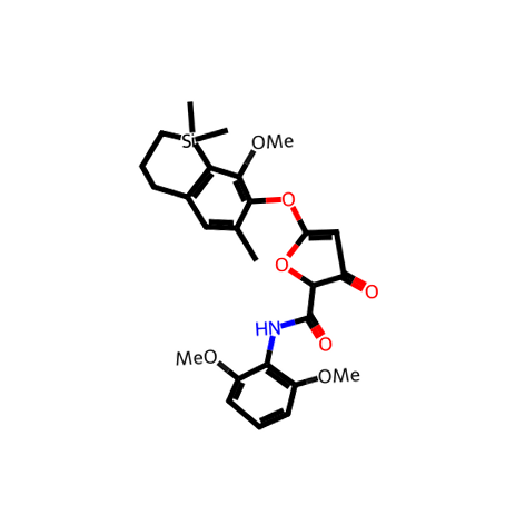 COc1cccc(OC)c1NC(=O)C1OC(Oc2c(C)cc3c(c2OC)[Si](C)(C)CCC3)=CC1=O